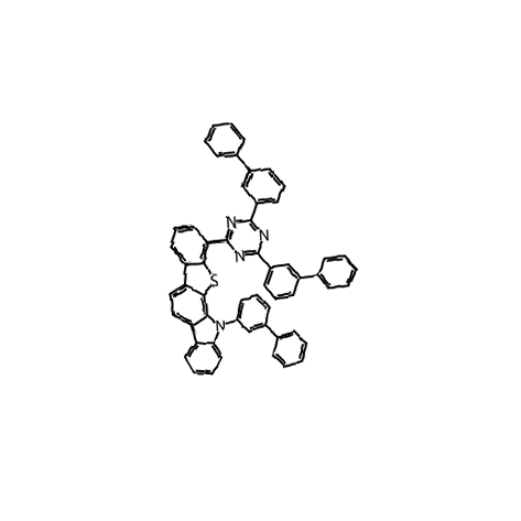 c1ccc(-c2cccc(-c3nc(-c4cccc(-c5ccccc5)c4)nc(-c4cccc5c4sc4c5ccc5c6ccccc6n(-c6cccc(-c7ccccc7)c6)c54)n3)c2)cc1